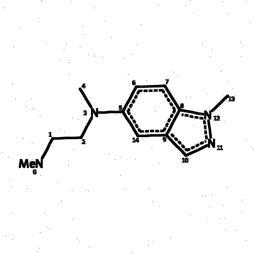 CNCCN(C)c1ccc2c(cnn2C)c1